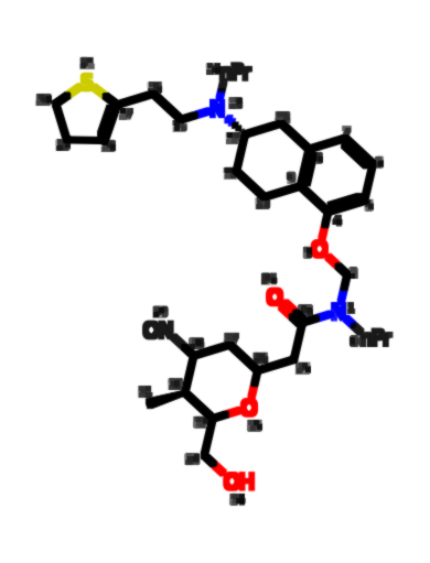 CCCN(COc1cccc2c1CC[C@H](N(CCC)CCC1=CCCS1)C2)C(=O)CC1CC(N=O)[C@H](C)C(CO)O1